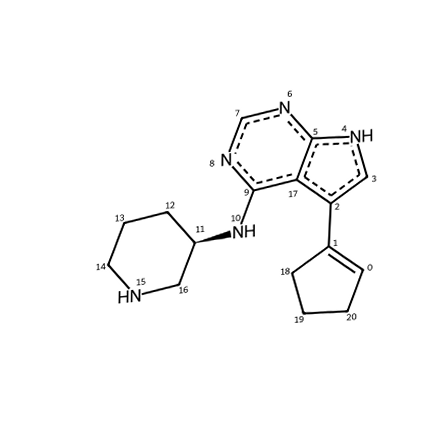 C1=C(c2c[nH]c3ncnc(N[C@@H]4CCCNC4)c23)CCC1